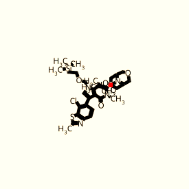 Cc1nc2ccc(-c3cn(COCC[Si](C)(C)C)c4nc(N5CC6COCC(C5)N6C(=O)OC(C)(C)C)n(C)c(=O)c34)c(Cl)c2s1